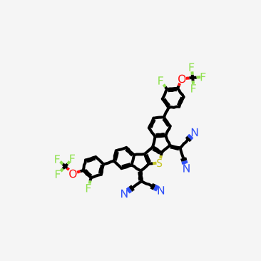 N#CC(C#N)=C1c2cc(-c3ccc(OC(F)(F)F)c(F)c3)ccc2-c2c1sc1c2-c2ccc(-c3ccc(OC(F)(F)F)c(F)c3)cc2C1=C(C#N)C#N